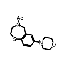 CC(=O)N1CCSc2ccc(N3CCOCC3)cc2C1